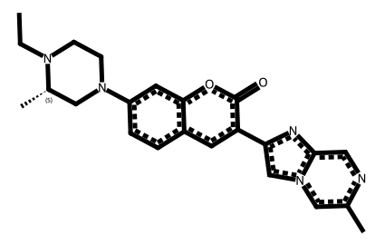 CCN1CCN(c2ccc3cc(-c4cn5cc(C)ncc5n4)c(=O)oc3c2)C[C@@H]1C